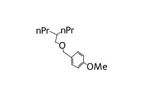 CCCC(CCC)COCc1ccc(OC)cc1